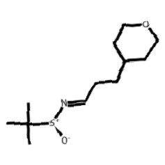 CC(C)(C)[S@+]([O-])N=CCCC1CCOCC1